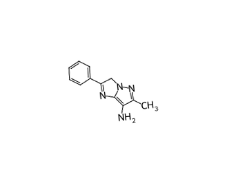 Cc1nn2c(c1N)N=C(c1ccccc1)C2